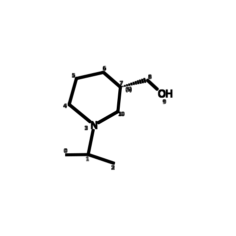 CC(C)N1CCC[C@H](CO)C1